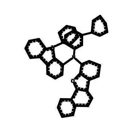 c1ccc(-c2cccc(N(c3cccc4c3oc3c5ccccc5ccc43)c3cccc4c5ccccc5n(-c5ccccc5)c34)c2)cc1